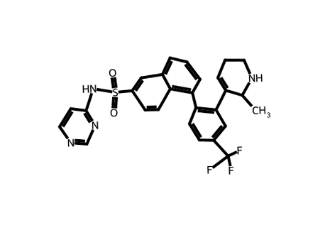 CC1NCCC=C1c1cc(C(F)(F)F)ccc1-c1cccc2cc(S(=O)(=O)Nc3ccncn3)ccc12